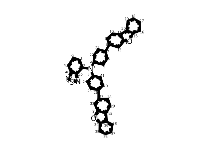 c1cc(N(c2ccc(-c3ccc4c(c3)oc3ccccc34)cc2)c2ccc(-c3ccc4c(c3)oc3ccccc34)cc2)c2nsnc2c1